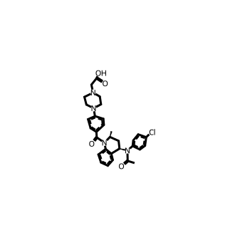 CC(=O)N(c1ccc(Cl)cc1)[C@@H]1C[C@H](C)N(C(=O)c2ccc(N3CCN(CC(=O)O)CC3)cc2)c2ccccc21